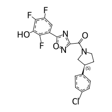 O=C(c1noc(-c2cc(F)c(F)c(O)c2F)n1)N1CC[C@@H](c2ccc(Cl)cc2)C1